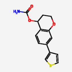 NC(=O)OC1CCOc2cc(-c3ccsc3)ccc21